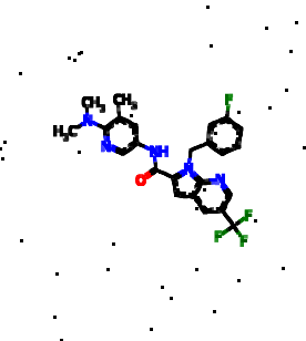 Cc1cc(NC(=O)c2cc3cc(C(F)(F)F)cnc3n2Cc2cccc(F)c2)cnc1N(C)C